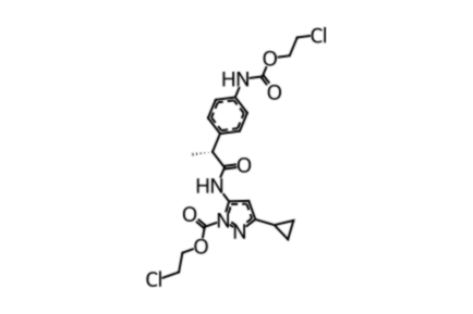 C[C@@H](C(=O)Nc1cc(C2CC2)nn1C(=O)OCCCl)c1ccc(NC(=O)OCCCl)cc1